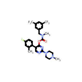 Cc1cc(F)ccc1-c1cnc(N2CCN(C)CC2)nc1OC(=O)N(C)Cc1cc(C(F)(F)F)cc(C(F)(F)F)c1